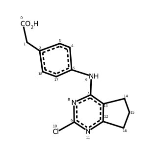 O=C(O)Cc1ccc(Nc2nc(Cl)nc3c2CCC3)cc1